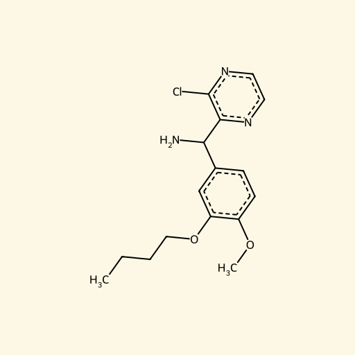 CCCCOc1cc(C(N)c2nccnc2Cl)ccc1OC